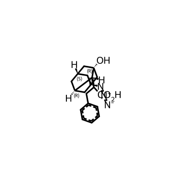 [N-]=[N+]=N[C@]12C[C@@H]3C[C@H](C1)[C@@H](C(Cc1ccccc1)C(=O)O)[C@@](O)(C3)C2